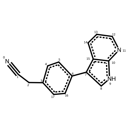 N#CCc1ccc(-c2c[nH]c3ncccc23)cc1